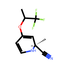 CC(OC1=C[C@@](C)(C#N)NC=C1)C(F)(F)F